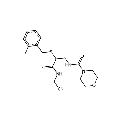 Cc1ccccc1CSC(CNC(=O)N1CCOCC1)C(=O)NCC#N